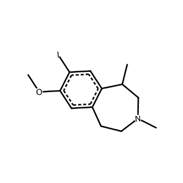 COc1cc2c(cc1I)C(C)CN(C)CC2